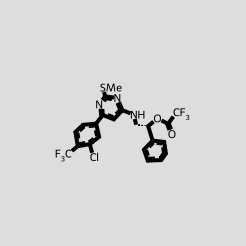 CSc1nc(NC[C@H](OC(=O)C(F)(F)F)c2ccccc2)cc(-c2ccc(C(F)(F)F)c(Cl)c2)n1